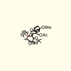 C=C[C@@H](COC(C)=O)[C@@H](OC(C)=O)[C@H](CO[Si](C)(C)C(C)(C)C)[C@H](O[Si](C)(C)C(C)(C)C)C1(C)O[C@@H]1[C@@H](C)COCc1ccc(OC)cc1